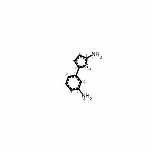 Nc1cccc(-c2ccc(N)s2)c1